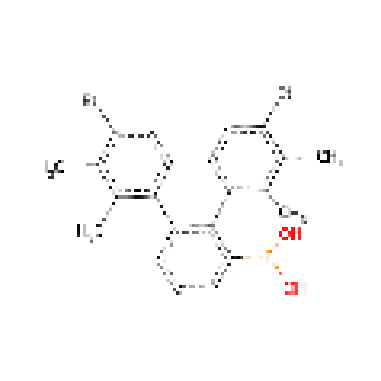 CCc1ccc(-c2cccc(P(O)O)c2-c2ccc(CC)c(C)c2C)c(C)c1C